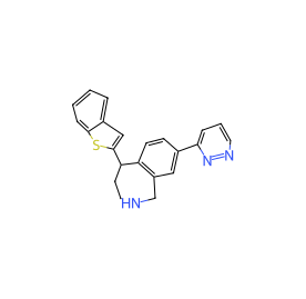 c1cnnc(-c2ccc3c(c2)CNCCC3c2cc3ccccc3s2)c1